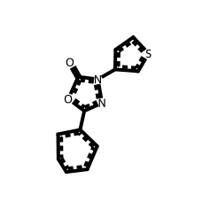 O=c1oc(-c2ccccc2)nn1-c1ccsc1